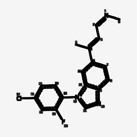 C/N=C\C=C(/C)c1ccc2ncn(-c3ccc(Cl)cc3F)c2c1